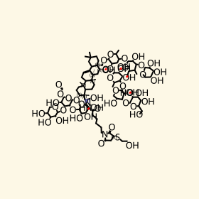 CC1OC(OC2C(C)OC(OC(=O)[C@]34CCC(C)(C)CC3C3=CCC5[C@@]6(C)CC[C@H](OC7OC(OC=O)C(O)C(OC8OCC(O)C(O)C8O)C7OC7OC(CO)C(O)C(O)C7O)[C@@](C)(/C=N/NC(=O)CCCCCN7C(=O)C[C@H](SCCO)C7=O)C6CC[C@@]5(C)[C@]3(C)C[C@H]4O)C(OC3OC(C)C(OC4OCC(O)C(OC5OC(CO)C(O)C(O)C5O)C4O)C(O)C3O)C2O)C(O)C(OC2OCC(O)C(O)C2O)C1C